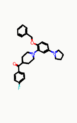 O=C(c1ccc(F)cc1)C1CCN(c2cc(N3CCCC3)ccc2OCc2ccccc2)CC1